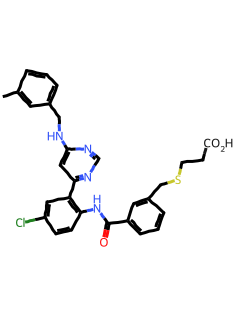 Cc1cccc(CNc2cc(-c3cc(Cl)ccc3NC(=O)c3cccc(CSCCC(=O)O)c3)ncn2)c1